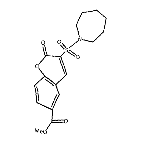 COC(=O)c1ccc2oc(=O)c(S(=O)(=O)N3CCCCCC3)cc2c1